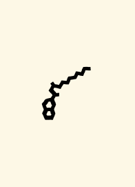 CCCCCCCCCC(C)C=C(C)c1ccc2ccccc2c1